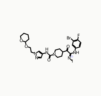 O=C(/C(=N/I)Nc1ccc(F)c(Br)c1)C1CCN(C(=O)Nc2cnn(CCOC3CCCCO3)c2)CC1